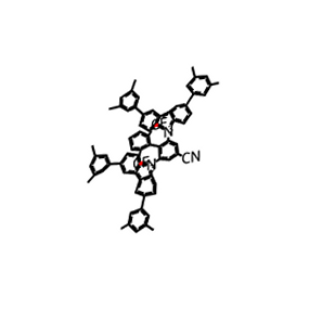 Cc1cc(C)cc(-c2ccc3c(c2)c2cc(-c4cc(C)cc(C)c4)ccc2n3-c2cc(C#N)cc(-n3c4ccc(-c5cc(C)cc(C)c5)cc4c4cc(-c5cc(C)cc(C)c5)ccc43)c2-c2c(C(F)(F)F)cccc2C(F)(F)F)c1